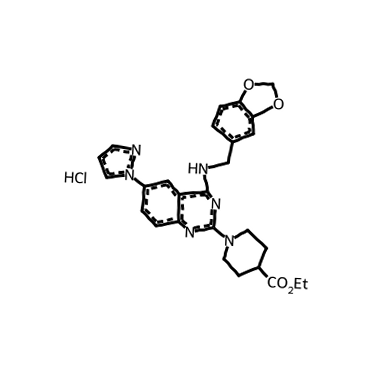 CCOC(=O)C1CCN(c2nc(NCc3ccc4c(c3)OCO4)c3cc(-n4cccn4)ccc3n2)CC1.Cl